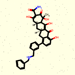 CC1(O)C(=O)C(C(N)=O)=C(O)C[C@@H]2C[C@@H]3Cc4c(-c5cccc(CNCc6ccccc6)c5)ccc(O)c4C(=O)C3=C(O)C21